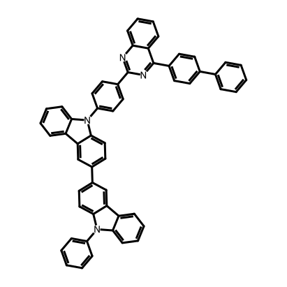 c1ccc(-c2ccc(-c3nc(-c4ccc(-n5c6ccccc6c6cc(-c7ccc8c(c7)c7ccccc7n8-c7ccccc7)ccc65)cc4)nc4ccccc34)cc2)cc1